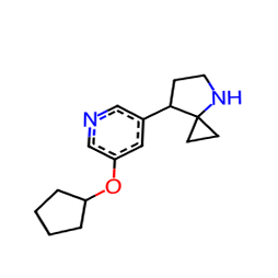 c1ncc(C2CCNC23CC3)cc1OC1CCCC1